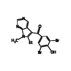 CCc1c(C(=O)c2cc(Br)c(O)c(Br)c2)c2cncnc2n1C